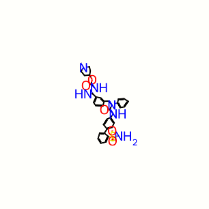 CN1CCC(OC(=O)NC(=N)c2cccc(CN(C(=O)Nc3ccc(-c4ccccc4S(N)(=O)=O)cc3)c3ccccc3)c2)CC1